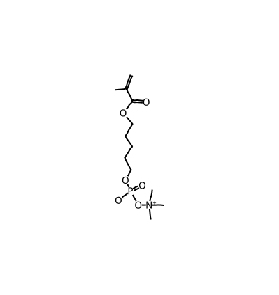 C=C(C)C(=O)OCCCCCOP(=O)([O-])O[N+](C)(C)C